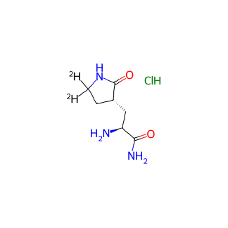 Cl.[2H]C1([2H])C[C@@H](C[C@H](N)C(N)=O)C(=O)N1